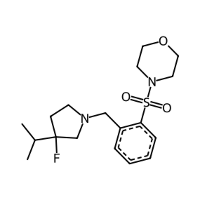 CC(C)C1(F)CCN(Cc2ccccc2S(=O)(=O)N2CCOCC2)C1